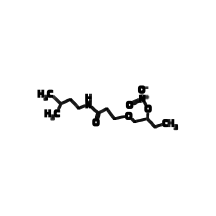 CCC(COCCC(=O)NCCC(C)C)O[N+](=O)[O-]